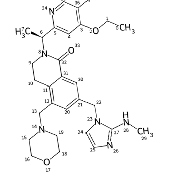 CCOc1cc([C@H](C)N2CCc3c(CN4CCOCC4)cc(Cn4ccnc4NC)cc3C2=O)ncc1F